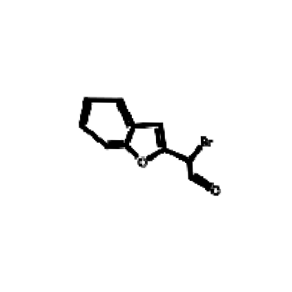 O=CC(Br)c1cc2ccccc2o1